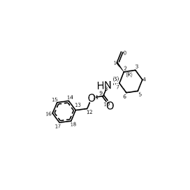 C=C[C@H]1CCCC[C@@H]1NC(=O)OCc1ccccc1